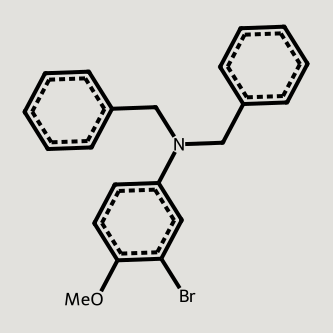 COc1ccc(N(Cc2ccccc2)Cc2ccccc2)cc1Br